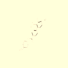 CCCC1CCC(OC(=O)c2ccc(-c3ccc(OCC)c(F)c3C(F)F)cc2)CC1